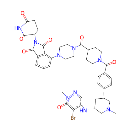 CN1C[C@H](Nc2cnn(C)c(=O)c2Br)C[C@H](c2ccc(C(=O)N3CCC(C(=O)N4CCN(c5cccc6c5C(=O)N(C5CCC(=O)NC5=O)C6=O)CC4)CC3)cc2)C1